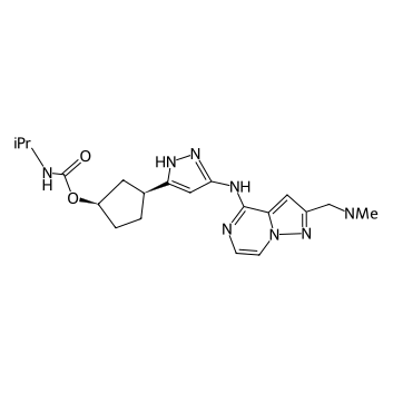 CNCc1cc2c(Nc3cc([C@H]4CC[C@@H](OC(=O)NC(C)C)C4)[nH]n3)nccn2n1